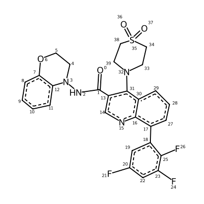 O=C(NN1CCOc2ccccc21)c1cnc2c(-c3cc(F)cc(F)c3F)cccc2c1N1CCS(=O)(=O)CC1